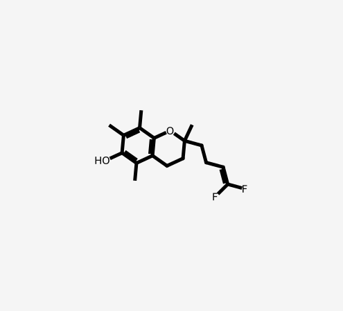 Cc1c(C)c2c(c(C)c1O)CCC(C)(CCC=C(F)F)O2